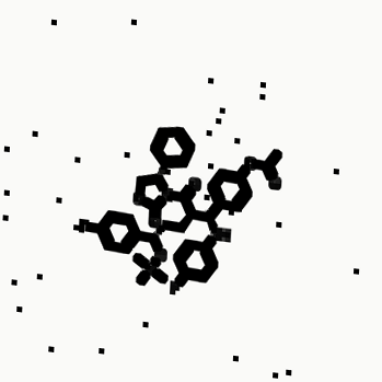 CC(=O)Oc1ccc([C@@H](Nc2ccc(F)cc2)[C@@H](CC[C@H](O[Si](C)(C)C)c2ccc(F)cc2)C(=O)N2C(=O)OC[C@@H]2c2ccccc2)cc1